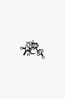 C=C1C(=O)O[C@@H]2[C@@H]3[C@@H](CC[C@@]3(C)O)[C@@]3(CC[C@@H]12)COC(=O)O3